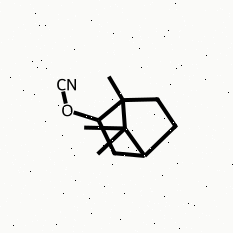 CC1(C)C2CCC1(C)C(OC#N)C2